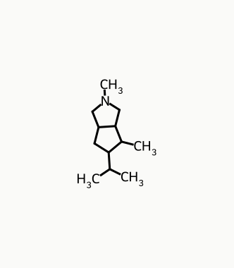 CC(C)C1CC2CN(C)CC2C1C